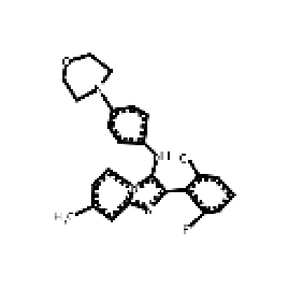 Cc1ccn2c(Nc3ccc(N4CCOCC4)cc3)c(-c3c(F)cccc3Cl)nc2c1